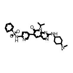 CC(C)n1c(=O)c(-c2ccc(NS(=O)(=O)c3ccccc3)nc2)cc2cnc(NC3CCC(N(C)C)CC3)nc21